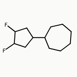 FC1CC(C2CCCCCC2)CC1F